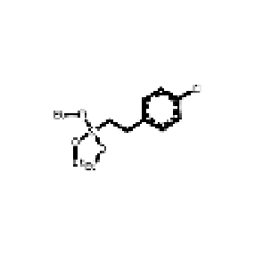 CCO[Si](CCc1ccc(Cl)cc1)(OCC)OCC